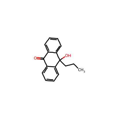 CCCC1(O)c2ccccc2C(=O)c2ccccc21